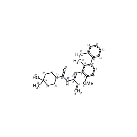 C=C/C(=N\c1c(OC)ccc(-c2ccccc2C)c1C)NC(=O)N1CCC(C)(O)CC1